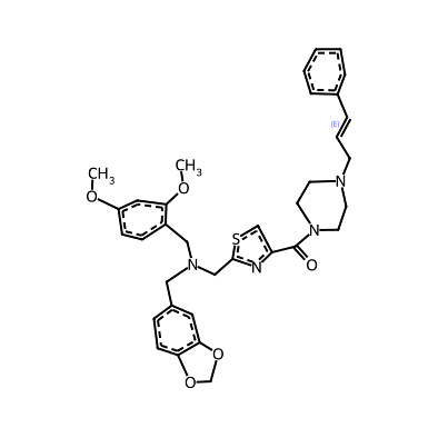 COc1ccc(CN(Cc2ccc3c(c2)OCO3)Cc2nc(C(=O)N3CCN(C/C=C/c4ccccc4)CC3)cs2)c(OC)c1